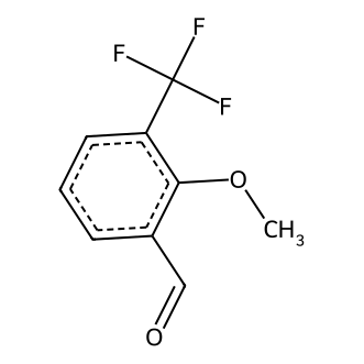 COc1c(C=O)cccc1C(F)(F)F